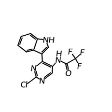 O=C(Nc1cnc(Cl)nc1-c1c[nH]c2ccccc12)C(F)(F)F